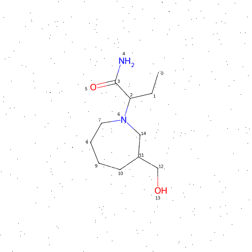 CCC(C(N)=O)N1CCCCC(CO)C1